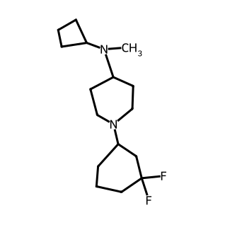 CN(C1CCC1)C1CCN(C2CCCC(F)(F)C2)CC1